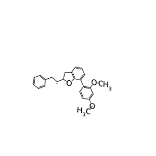 COc1ccc(-c2cccc3c2OC([CH]Cc2ccccc2)C3)c(OC)c1